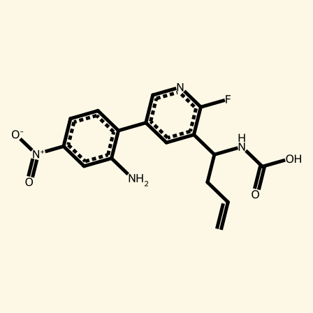 C=CCC(NC(=O)O)c1cc(-c2ccc([N+](=O)[O-])cc2N)cnc1F